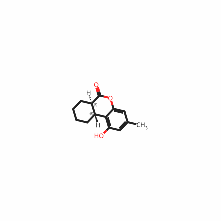 Cc1cc(O)c2c(c1)OC(=O)[C@@H]1CCCC[C@@H]21